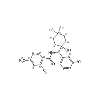 O=C(NC(c1cccc(Cl)n1)C1(O)CCC(F)(F)CC1)c1ccc(C(F)(F)F)nc1Cl